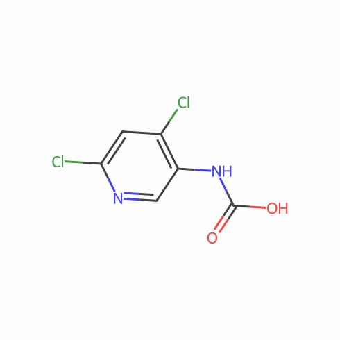 O=C(O)Nc1cnc(Cl)cc1Cl